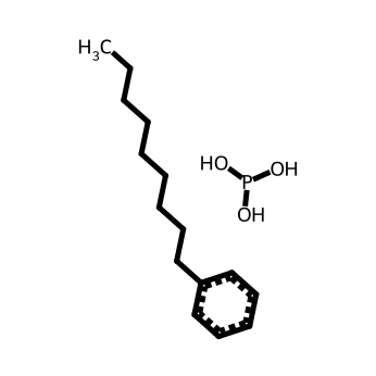 CCCCCCCCCc1ccccc1.OP(O)O